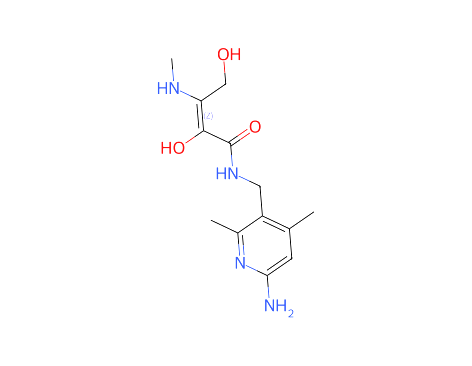 CN/C(CO)=C(\O)C(=O)NCc1c(C)cc(N)nc1C